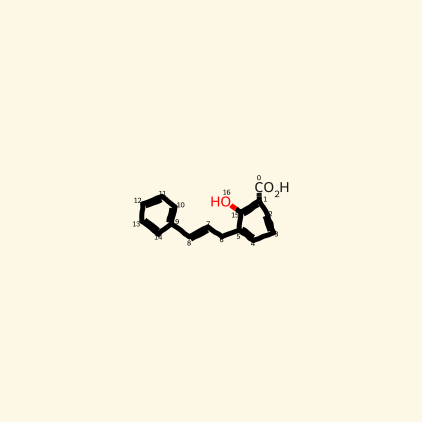 O=C(O)c1cccc(CC=Cc2ccccc2)c1O